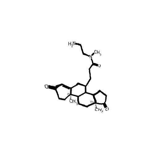 CN(CCN)C(=O)CCC1CC2=CC(=O)CC[C@]2(C)C2CC[C@]3(C)C(=O)CCC3C12